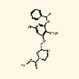 C[C@@H](Nc1nc(Cl)cc(OC[C@H]2CN(C(=O)OC(C)(C)C)CCN2)c1C(=O)O)c1ccccc1